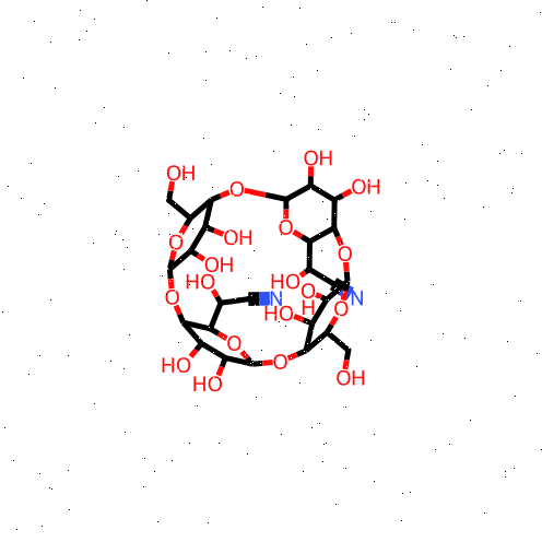 N#CC(O)C1OC2OC3C(CO)OC(OC4C(O)C(O)C(OC5C(CO)OC(OC1C(O)C2O)C(O)C5O)OC4C(O)C#N)C(O)C3O